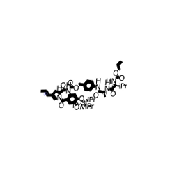 C=CCOC(=O)N[C@H](C(=O)N[C@@H](C)C(=O)Nc1ccc(COC(=O)N2c3cc(O[Si](C(C)C)(C(C)C)C(C)C)c(OC)cc3C(=O)N3C=C(/C=C/C)C[C@H]3[C@@H]2O)cc1)C(C)C